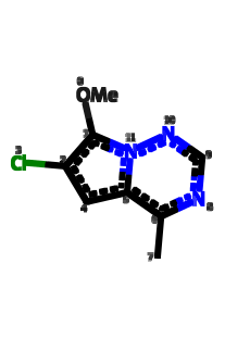 COc1c(Cl)cc2c(C)ncnn12